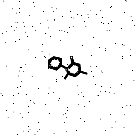 Cc1cc(C)n(-c2cccnc2)c(=O)c1